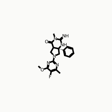 COc1nc(N2CC3C(=O)N(C)C(=N)N[C@@]3(c3ccccc3)C2)nc(C)c1F